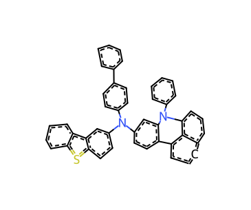 c1ccc(-c2ccc(N(c3ccc4c(c3)N(c3ccccc3)c3cccc5cccc-4c35)c3ccc4sc5ccccc5c4c3)cc2)cc1